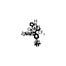 CC(C)(C)OC(=O)NC1CCC[C@@H]1Nc1ncc(C(F)(F)F)c(-c2cn(COCC[Si](C)(C)C)c3cc(B4OC(C)(C)C(C)(C)O4)ccc23)n1